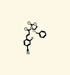 N#Cc1ccc(/C=C/C(=O)N2C(=O)OC[C@@H]2Cc2ccccc2)c(F)c1